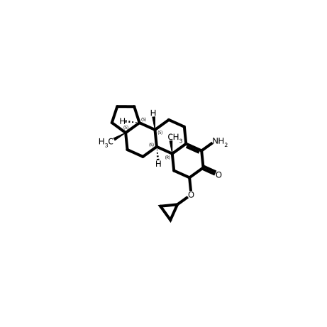 C[C@@]12CCC[C@H]1[C@@H]1CCC3=C(N)C(=O)C(OC4CC4)C[C@]3(C)[C@H]1CC2